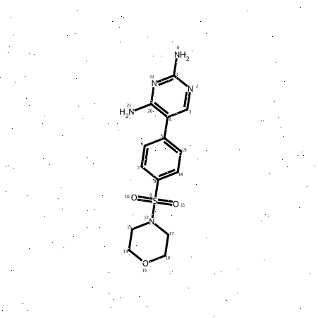 Nc1ncc(-c2ccc(S(=O)(=O)N3CCOCC3)cc2)c(N)n1